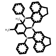 CC1=CC2(C)C3B(c4cc5c6c(cccc6c4N(c4ccccc4)C3=C1)CC5)c1cc3c4c(cccc4c1N2c1ccccc1)CC3